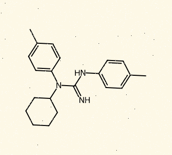 Cc1ccc(NC(=N)N(c2ccc(C)cc2)C2CCCCC2)cc1